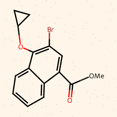 COC(=O)c1cc(Br)c(OC2CC2)c2ccccc12